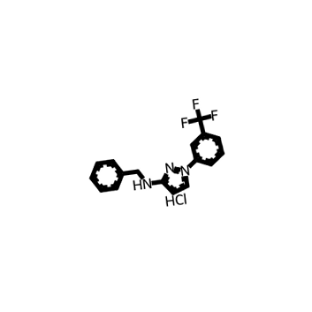 Cl.FC(F)(F)c1cccc(-n2ccc(NCc3ccccc3)n2)c1